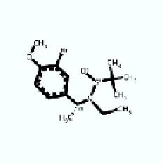 CCN([C@H](C)c1ccc(OC)c(Br)c1)[S+]([O-])C(C)(C)C